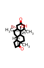 C[C@@H]1CC(=O)C[C@]2(Br)[C@H](C)C[C@@H]3[C@H](CC[C@]4(C)C(=O)CC[C@@H]34)[C@@]12CO